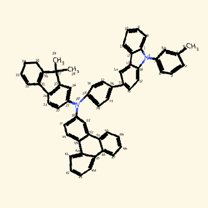 Cc1cccc(-n2c3ccccc3c3cc(-c4ccc(N(c5ccc6c(c5)C(C)(C)C5=C6C=CCC5)c5ccc6c7ccccc7c7ccccc7c6c5)cc4)ccc32)c1